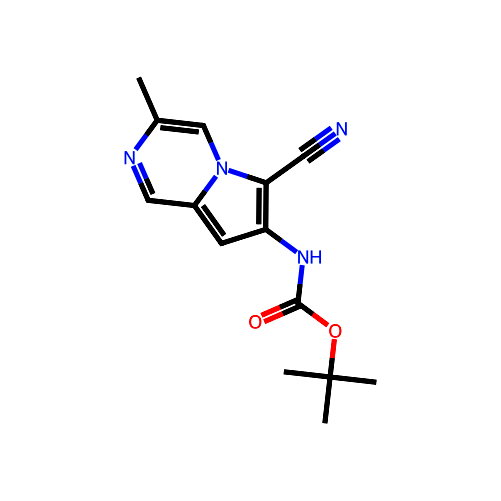 Cc1cn2c(C#N)c(NC(=O)OC(C)(C)C)cc2cn1